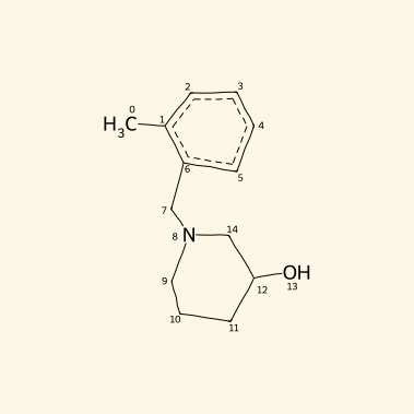 Cc1ccccc1CN1CCCC(O)C1